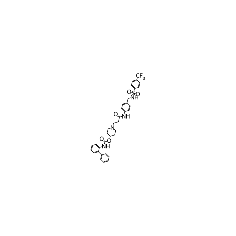 O=C(CCN1CCC(OC(=O)Nc2ccccc2-c2ccccc2)CC1)Nc1ccc(CNS(=O)(=O)c2ccc(C(F)(F)F)cc2)cc1